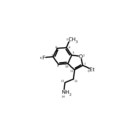 CCc1oc2c(C)cc(F)cc2c1CCN